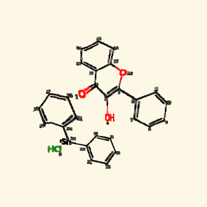 Cl.O=c1c(O)c(-c2ccccc2)oc2ccccc12.c1cc[c]([Sn][c]2ccccc2)cc1